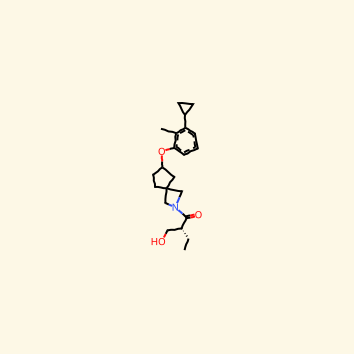 CC[C@H](CO)C(=O)N1CC2(CCC(Oc3cccc(C4CC4)c3C)C2)C1